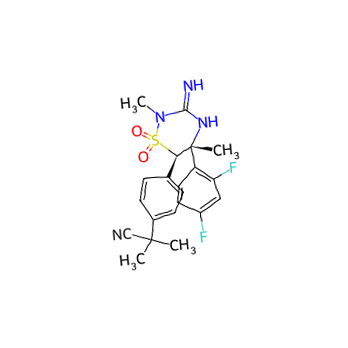 CN1C(=N)N[C@](C)(c2ccc(F)cc2F)[C@@H](c2ccc(C(C)(C)C#N)cc2)S1(=O)=O